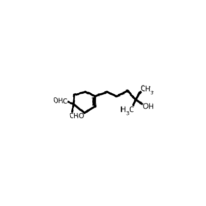 CC(C)(O)CCCC1=CCC(C=O)(C=O)CC1